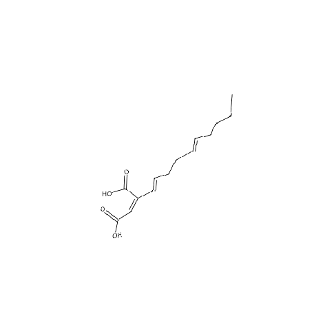 CCCCC=CCCC=CC(=CC(=O)O)C(=O)O